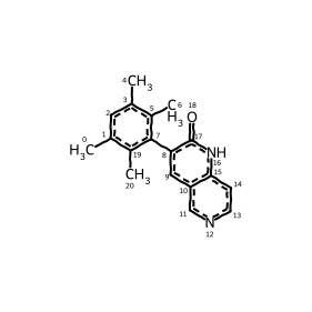 Cc1cc(C)c(C)c(-c2cc3cnccc3[nH]c2=O)c1C